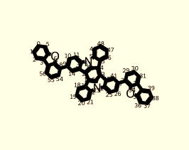 c1ccc2c(c1)oc1c(-c3ccc4c(c3)c3c5c6ccccc6n6c7ccc(-c8cccc9c8oc8ccccc89)cc7c(c7c8ccccc8n4c73)c56)cccc12